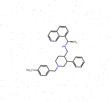 C[C@@H](NCC1CCN(Cc2ccc(C(=O)O)cc2)CC1c1ccccc1)c1cccc2ccccc12